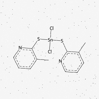 Cc1cccnc1[S][Sn]([Cl])([Cl])[S]c1ncccc1C